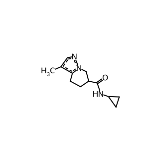 Cc1cnn2c1CCC(C(=O)NC1CC1)C2